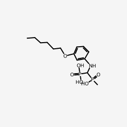 CCCCCCOc1cccc(NC(P(C)(=O)O)P(=O)(O)O)c1